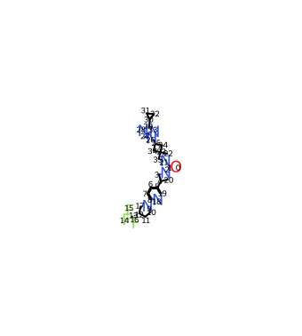 O=C(N1CC(c2ccc(N3CC[C@H](C(F)(F)F)C3)nc2)C1)N1CC2(CC(n3cnc(C4CC4)n3)C2)C1